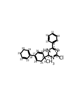 CC1(C2N=C(Cl)N=C(c3ccccc3)N2)C=CC(C2=CCCC=C2)=CC1